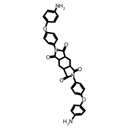 Nc1ccc(Oc2ccc(N3C(=O)C4CC5C(=O)N(c6ccc(Oc7ccc(N)cc7)cc6)C(=O)C5CC4C3=O)cc2)cc1